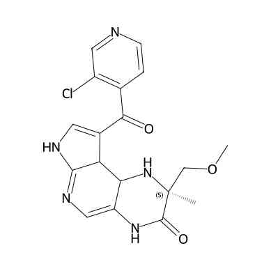 COC[C@]1(C)NC2C(=CN=C3NC=C(C(=O)c4ccncc4Cl)C32)NC1=O